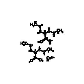 CSSN(SSC)C(=O)[O-].CSSN(SSC)C(=O)[O-].[Cu+2]